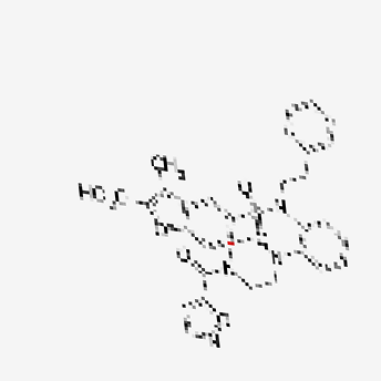 Cc1c(C(=O)O)oc2ccc(S(=O)(=O)N(CCc3ccccc3)c3ccccc3N3CCN(C(=O)c4ccno4)CC3)cc12